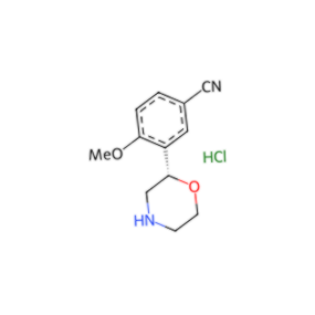 COc1ccc(C#N)cc1[C@H]1CNCCO1.Cl